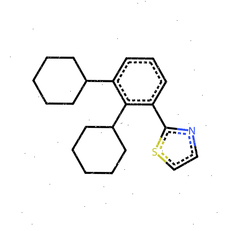 c1cc(-c2nccs2)c(C2CCCCC2)c(C2CCCCC2)c1